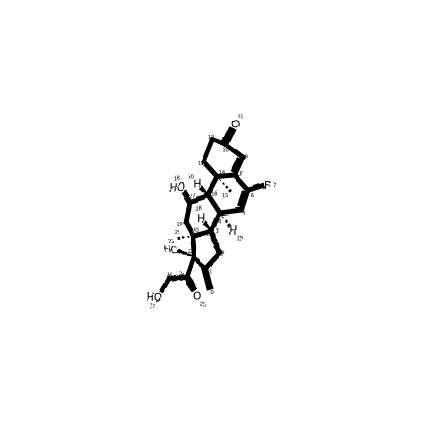 C=C1C[C@H]2[C@@H]3C=C(F)C4=CC(=O)CC[C@]4(C)[C@H]3C(O)C[C@]2(C)[C@@]1(O)C(=O)CO